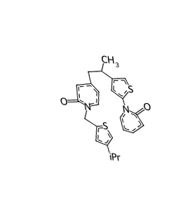 CC(C)c1csc(Cn2ccc(CC(C)c3csc(-n4ccccc4=O)c3)cc2=O)c1